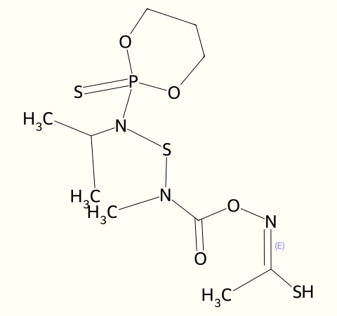 C/C(S)=N\OC(=O)N(C)SN(C(C)C)P1(=S)OCCCO1